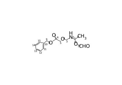 CC(NCOCC(=O)OCc1ccccc1)OC=O